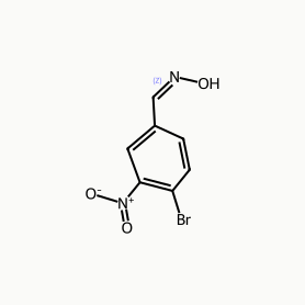 O=[N+]([O-])c1cc(/C=N\O)ccc1Br